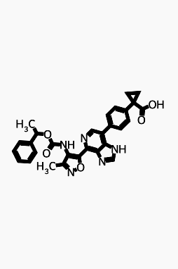 Cc1noc(-c2ncc(-c3ccc(C4(C(=O)O)CC4)cc3)c3[nH]cnc23)c1NC(=O)OC(C)c1ccccc1